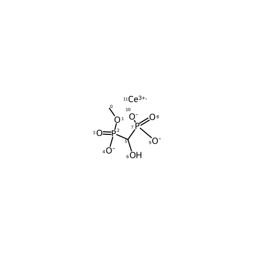 COP(=O)([O-])C(O)P(=O)([O-])[O-].[Ce+3]